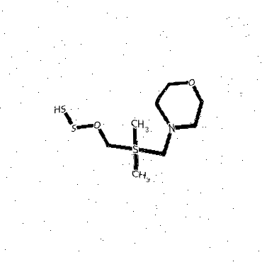 CS(C)(COSS)CN1CCOCC1